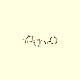 CCC(C)SP(N)(=O)NC(=O)COc1ccccc1